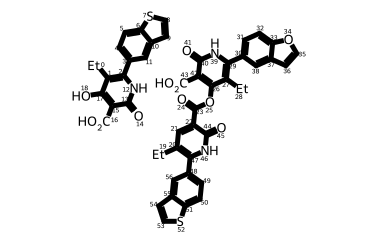 CCc1c(-c2ccc3sccc3c2)[nH]c(=O)c(C(=O)O)c1O.CCc1cc(C(=O)Oc2c(CC)c(-c3ccc4occc4c3)[nH]c(=O)c2C(=O)O)c(=O)[nH]c1-c1ccc2sccc2c1